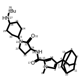 Cn1cc(C23CC4CC(CC(C4)C2)C3)cc1C(=O)NC1CCN(C2CCC(NC(C)(C)C)CC2)C1=O